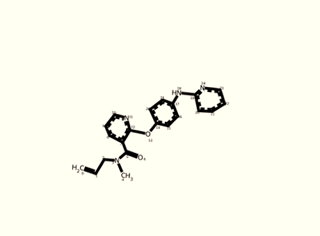 C=CCN(C)C(=O)c1cccnc1Oc1ccc(Nc2ccccn2)cc1